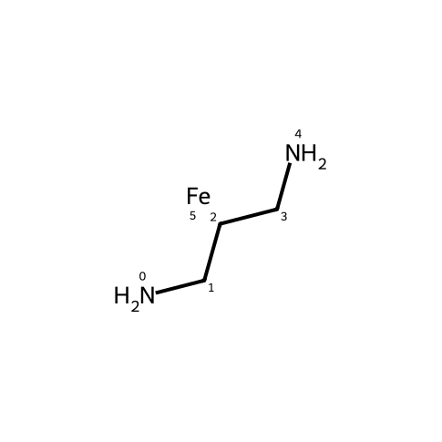 NCCCN.[Fe]